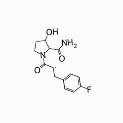 NC(=O)C1C(O)CCN1C(=O)[CH]Cc1ccc(F)cc1